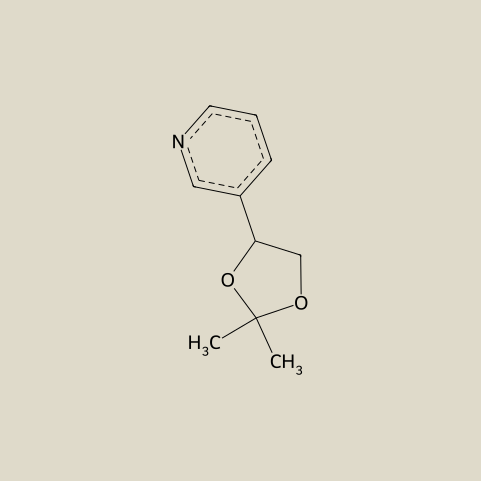 CC1(C)OCC(c2cccnc2)O1